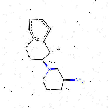 C[C@H]1c2ccccc2CC[C@@H]1N1CCC[C@H](N)C1